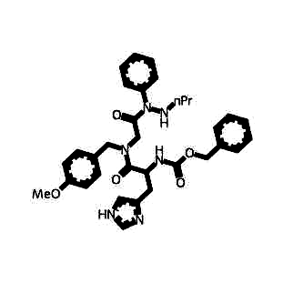 CCCNN(C(=O)CN(Cc1ccc(OC)cc1)C(=O)C(Cc1c[nH]cn1)NC(=O)OCc1ccccc1)c1ccccc1